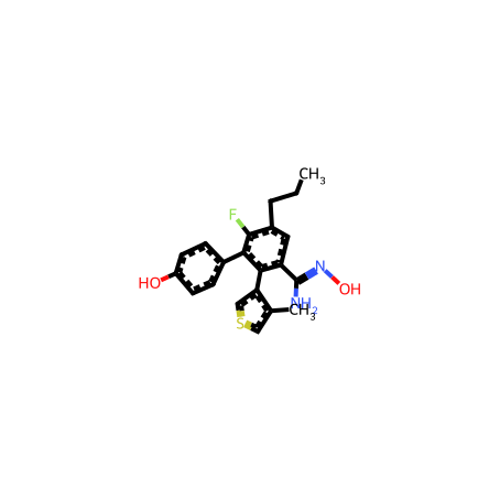 CCCc1cc(/C(N)=N/O)c(-c2cscc2C)c(-c2ccc(O)cc2)c1F